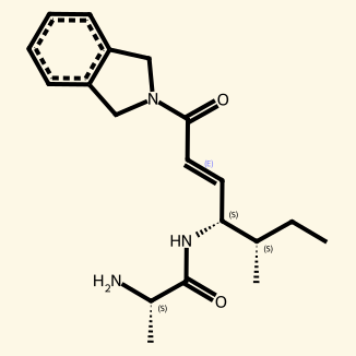 CC[C@H](C)[C@@H](/C=C/C(=O)N1Cc2ccccc2C1)NC(=O)[C@H](C)N